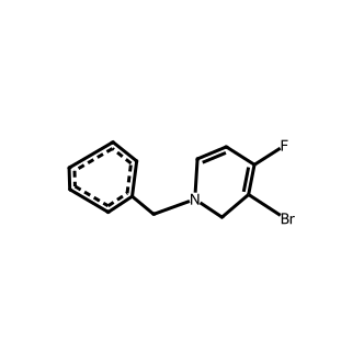 FC1=C(Br)CN(Cc2ccccc2)C=C1